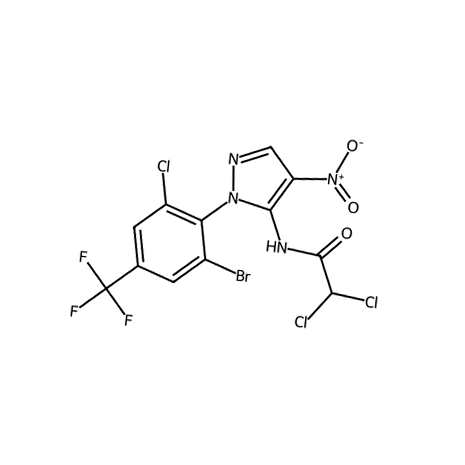 O=C(Nc1c([N+](=O)[O-])cnn1-c1c(Cl)cc(C(F)(F)F)cc1Br)C(Cl)Cl